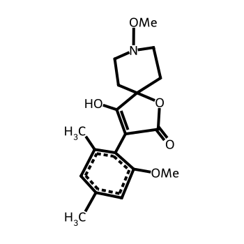 COc1cc(C)cc(C)c1C1=C(O)C2(CCN(OC)CC2)OC1=O